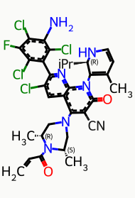 C=CC(=O)N1[C@H](C)CN(c2c(C#N)c(=O)n(C3=C(C)C=CN[C@@H]3C(C)C)c3nc(-c4c(Cl)c(N)c(Cl)c(F)c4Cl)c(Cl)cc23)C[C@@H]1C